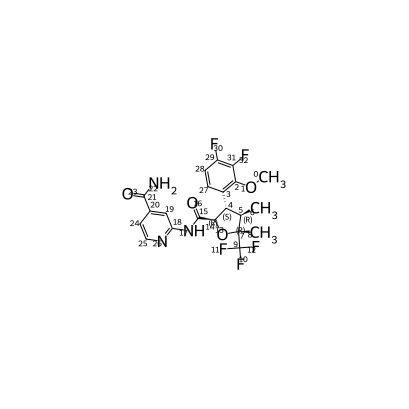 COc1c([C@@H]2[C@@H](C)[C@](C)(C(F)(F)F)O[C@H]2C(=O)Nc2cc(C(N)=O)ccn2)ccc(F)c1F